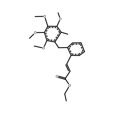 CCOC(=O)C=Cc1ccccc1Cc1c(C)c(OC)c(OC)c(OC)c1OC